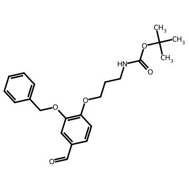 CC(C)(C)OC(=O)NCCCOc1ccc(C=O)cc1OCc1ccccc1